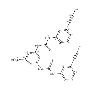 CC#Cc1cccc(NC(=O)Nc2cc(NC(=O)Nc3cccc(C#CC)c3)cc(C(=O)O)c2)c1